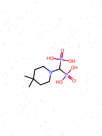 CC1(C)CCN(C(P(=O)(O)O)P(=O)(O)O)CC1